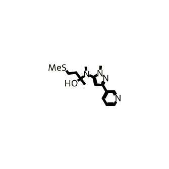 CSCCC(C)(O)N(C)c1cc(-c2cccnc2)nn1C